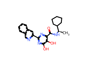 C[C@@H](NC(=O)c1nc(-c2cc3ccccc3cn2)nc(O)c1O)C1CCCCC1